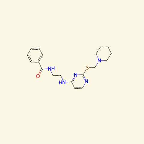 O=C(NCCNc1ccnc(SCN2CCCCC2)n1)c1ccccc1